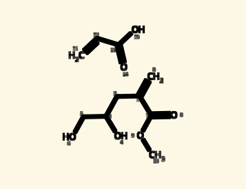 C=C(CC(O)CO)C(=O)OC.C=CC(=O)O